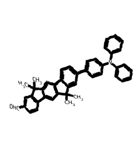 CC1(C)c2cc(C=O)ccc2-c2cc3c(cc21)-c1ccc(-c2ccc(N(c4ccccc4)c4ccccc4)cc2)cc1C3(C)C